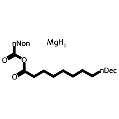 CCCCCCCCCCCCCCCCCC(=O)OC(=O)CCCCCCCCC.[MgH2]